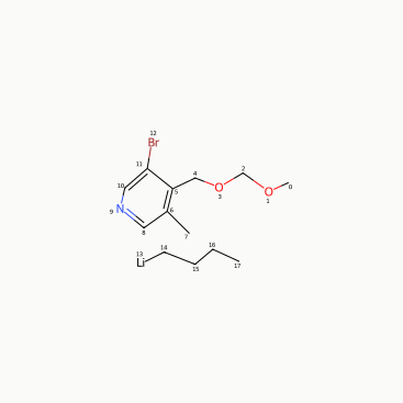 COCOCc1c(C)cncc1Br.[Li][CH2]CCC